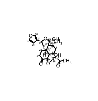 CC(=O)OC[C@@]12[C@H](O)C[C@@H](C)[C@]3(C[C@@H](c4ccoc4)O[C@@H]3O)[C@H]1CCC(=O)[C@@]21CO1